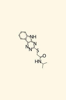 CC(C)NC(=O)CSc1nnc2c(n1)[nH]c1ccccc12